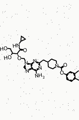 Cc1ccc(OC(=O)N2CCC(Cc3nc(N)c4ncn(CO[C@H](C(=O)NC5CC5)C(O)CO)c4n3)CC2)cc1C